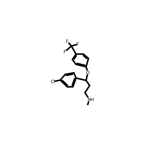 CNCCC(Oc1ccc(C(F)(F)F)cc1)c1ccc(Cl)cc1